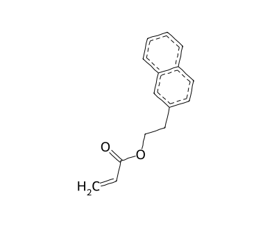 C=CC(=O)OCCc1ccc2ccccc2c1